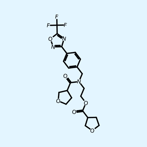 O=C(OCCN(Cc1ccc(-c2noc(C(F)(F)F)n2)cc1)C(=O)C1CCOC1)C1CCOC1